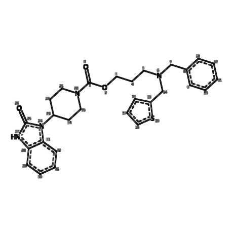 O=C(OCCCN(Cc1ccccc1)Cc1cccs1)N1CCC(n2c(=O)[nH]c3ccccc32)CC1